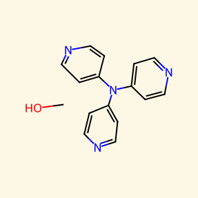 CO.c1cc(N(c2ccncc2)c2ccncc2)ccn1